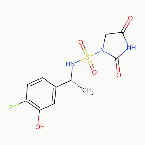 C[C@@H](NS(=O)(=O)N1CC(=O)NC1=O)c1ccc(F)c(O)c1